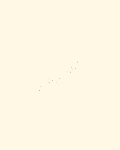 COC(=O)c1ccc(-c2ccc(CCN(C[C@@H](O)c3cccc(OCc4ccccc4)c3)C(=O)OC(C)(C)C)cc2)cc1OC(C)C